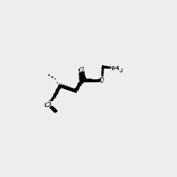 CO[C@H](C)CC(=O)OCN